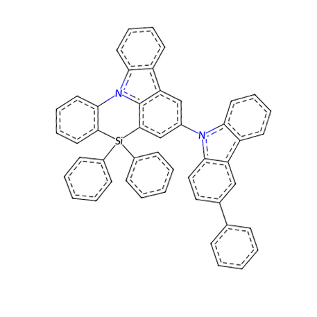 c1ccc(-c2ccc3c(c2)c2ccccc2n3-c2cc3c4c(c2)c2ccccc2n4-c2ccccc2[Si]3(c2ccccc2)c2ccccc2)cc1